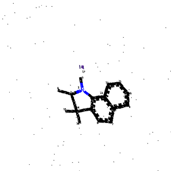 CC1N(C)c2c(ccc3ccccc23)C1(C)C.I